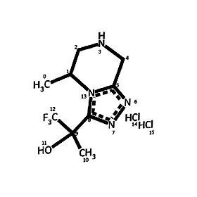 CC1CNCc2nnc(C(C)(O)C(F)(F)F)n21.Cl.Cl